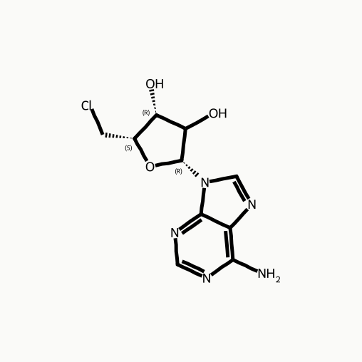 Nc1ncnc2c1ncn2[C@@H]1O[C@H](CCl)[C@H](O)C1O